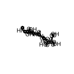 COc1cc(N=Nc2ccc(C(=O)Nc3cc4c(OCCCS(=O)(=O)O)cc(S(=O)(=O)O)cc4cc3S(=O)(=O)O)cc2C)ccc1N=Nc1cc(C)c(N=Nc2c(S(=O)(=O)O)cc3cc(Nc4ccccc4)ccc3c2O)cc1C